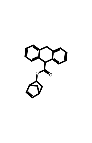 O=C(OC1CC2C=CC1C2)C1c2ccccc2Cc2ccccc21